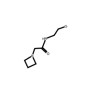 [O]CCNC(=O)CN1CCC1